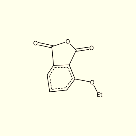 CCOc1cccc2c1C(=O)OC2=O